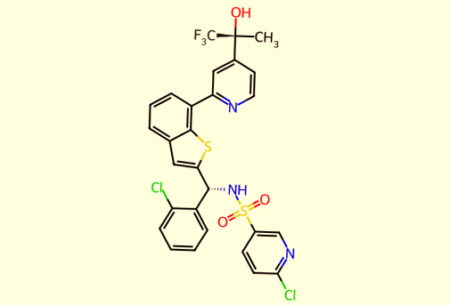 C[C@@](O)(c1ccnc(-c2cccc3cc([C@H](NS(=O)(=O)c4ccc(Cl)nc4)c4ccccc4Cl)sc23)c1)C(F)(F)F